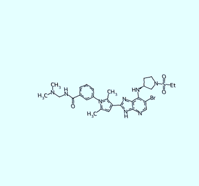 CCS(=O)(=O)N1CC[C@H](Nc2c(Br)cnc3[nH]c(-c4cc(C)n(-c5cccc(C(=O)NCN(C)C)c5)c4C)nc23)C1